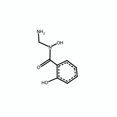 NCN(O)C(=O)c1ccccc1O